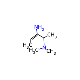 C/C=C(/N)C(C)N(C)C